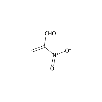 C=C(C=O)[N+](=O)[O-]